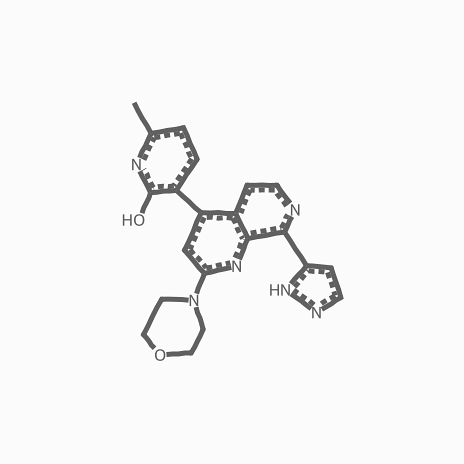 Cc1ccc(-c2cc(N3CCOCC3)nc3c(-c4ccn[nH]4)nccc23)c(O)n1